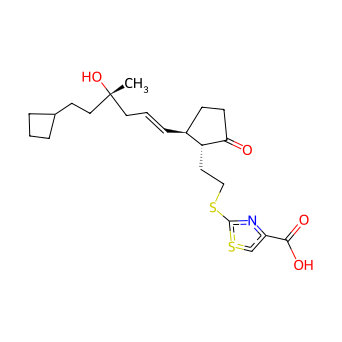 C[C@@](O)(C/C=C/[C@H]1CCC(=O)[C@@H]1CCSc1nc(C(=O)O)cs1)CCC1CCC1